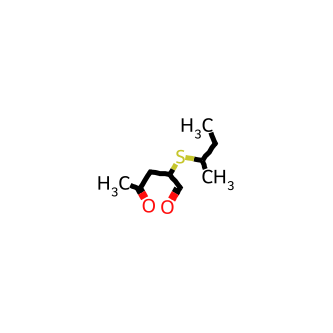 CCC(C)SC(C=O)CC(C)=O